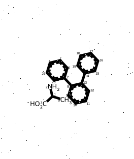 CC(N)C(=O)O.c1ccc(-c2ccccc2-c2ccccc2)cc1